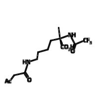 CC(=O)CC(=O)NCCCC[C@](C)(NC(=O)C(F)(F)F)C(=O)O